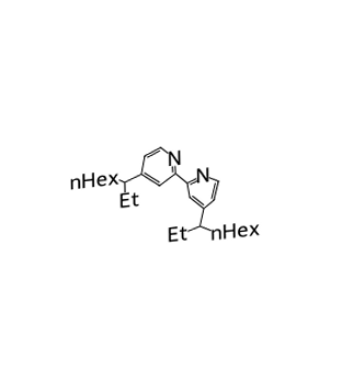 CCCCCCC(CC)c1ccnc(-c2cc(C(CC)CCCCCC)ccn2)c1